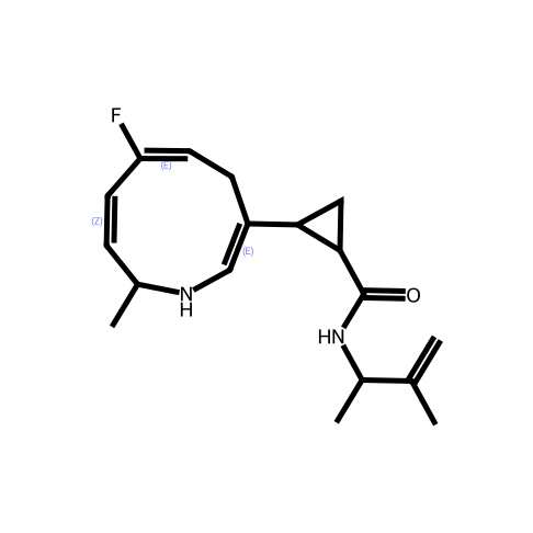 C=C(C)C(C)NC(=O)C1CC1/C1=C/NC(C)/C=C\C(F)=C/C1